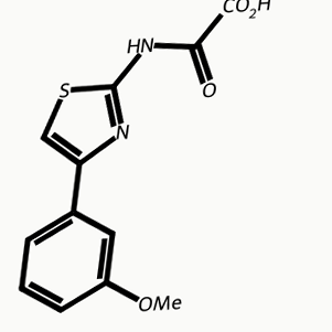 COc1cccc(-c2csc(NC(=O)C(=O)O)n2)c1